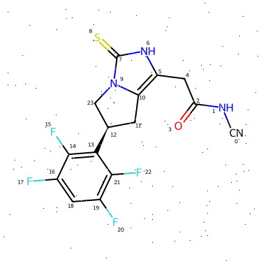 N#CNC(=O)Cc1[nH]c(=S)n2c1C[C@@H](c1c(F)c(F)cc(F)c1F)C2